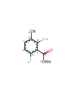 COC(=O)c1c(F)ccc(C#N)c1F